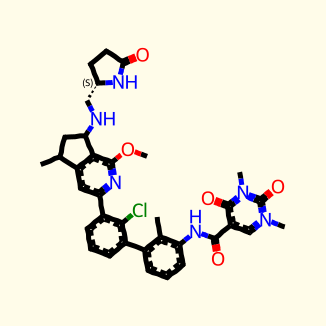 COc1nc(-c2cccc(-c3cccc(NC(=O)c4cn(C)c(=O)n(C)c4=O)c3C)c2Cl)cc2c1C(NC[C@@H]1CCC(=O)N1)CC2C